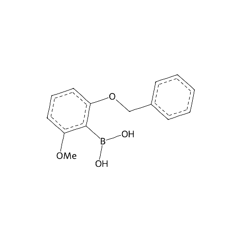 COc1cccc(OCc2ccccc2)c1B(O)O